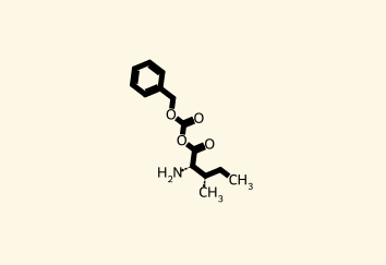 CC[C@H](C)[C@H](N)C(=O)OC(=O)OCc1ccccc1